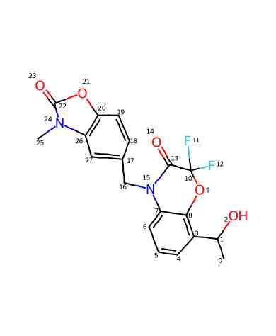 CC(O)c1cccc2c1OC(F)(F)C(=O)N2Cc1ccc2oc(=O)n(C)c2c1